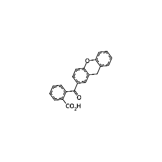 O=C(O)c1ccccc1C(=O)c1ccc2c(c1)Cc1ccccc1O2